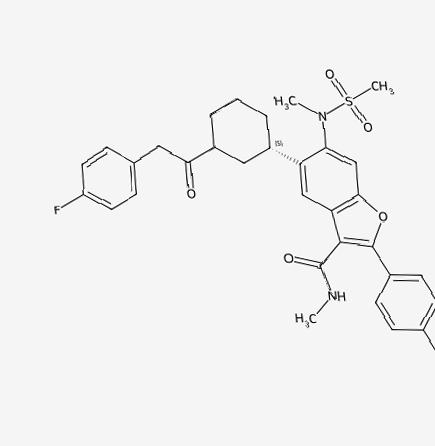 CNC(=O)c1c(-c2ccc(F)cc2)oc2cc(N(C)S(C)(=O)=O)c([C@H]3CCCC(C(=O)Cc4ccc(F)cc4)C3)cc12